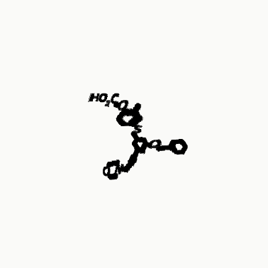 Cc1cc(SCc2cc(C#CCN3CCOCC3)cc(OCC3CCCCC3)c2)ccc1OCC(=O)O